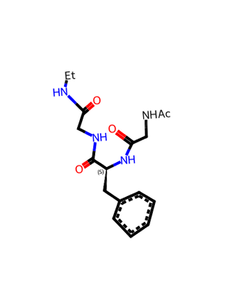 CCNC(=O)CNC(=O)[C@H](Cc1ccccc1)NC(=O)CNC(C)=O